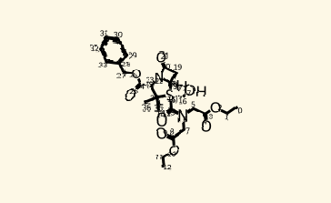 CCOC(=O)CN(CC(=O)OCC)C(=O)[S@]1(CO)[C@@H]2CC(=O)N2[C@@H](C(=O)OCc2ccccc2)C1(C)C